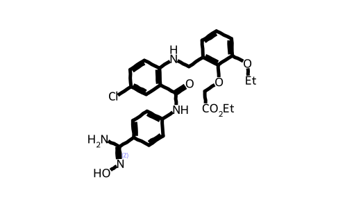 CCOC(=O)COc1c(CNc2ccc(Cl)cc2C(=O)Nc2ccc(/C(N)=N/O)cc2)cccc1OCC